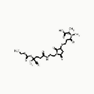 CCSC(=S)SC(C)(C#N)CCC(=O)NCCN1C(=O)CC(SCCC(=O)N(C)[C@@H](C)C(=O)O)C1=O